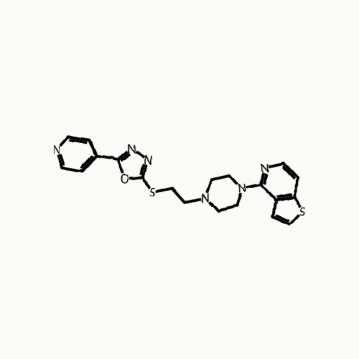 c1cc(-c2nnc(SCCN3CCN(c4nccc5sccc45)CC3)o2)ccn1